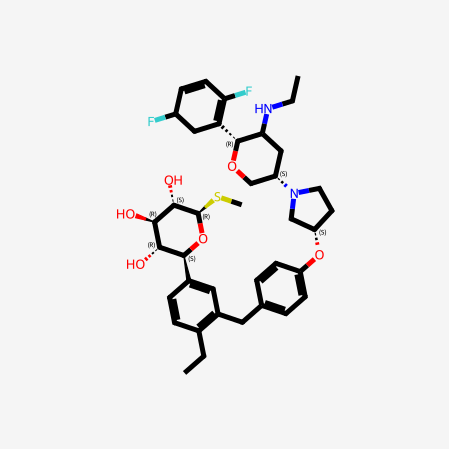 CCNC1C[C@H](N2CC[C@H](Oc3ccc(Cc4cc([C@@H]5O[C@H](SC)[C@@H](O)[C@H](O)[C@H]5O)ccc4CC)cc3)C2)CO[C@@H]1C1=C(F)C=CC(F)C1